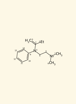 C=C(CC)N(CCN(C)C)c1ccccc1